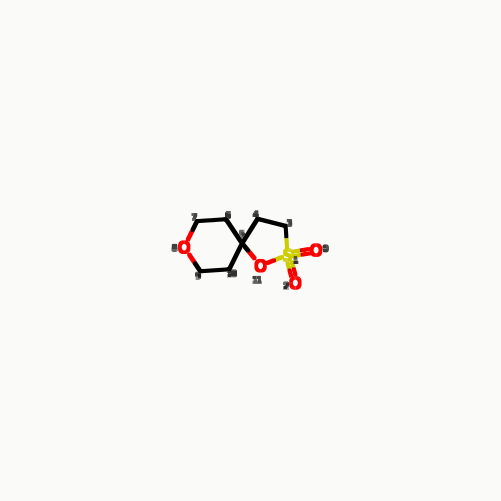 O=S1(=O)CCC2(CCOCC2)O1